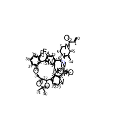 C=CC(=O)N1CCN(/C(=N/C)c2cc(F)c3nc2N(C=O)c2c(ccnc2C(C)C)C2OC(C)(C)OC2COc2cccc(F)c2-3)C(C)C1